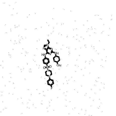 CCn1cnc2c(Nc3ccc(S(=O)(=O)N4CCN(c5ccc(F)cc5)CC4)cc3)nc(NC3CCC(O)CC3)nc21